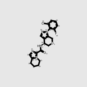 O=C(N[C@@H]1COCc2c1cnn2-c1c(F)cccc1Cl)c1ncc2n1CCCC2